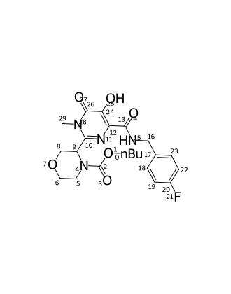 CCCCOC(=O)N1CCOCC1c1nc(C(=O)NCc2ccc(F)cc2)c(O)c(=O)n1C